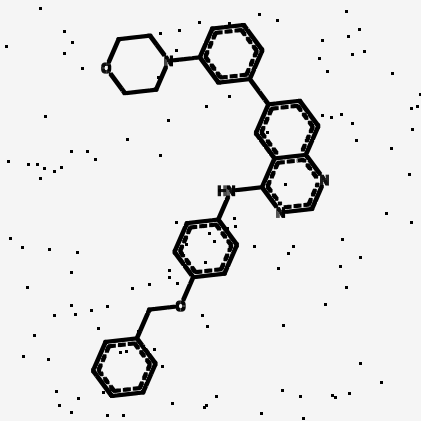 c1ccc(COc2ccc(Nc3ncnc4ccc(-c5cccc(N6CCOCC6)c5)cc34)cc2)cc1